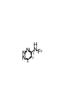 FNc1ccnnn1